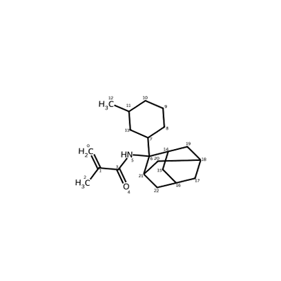 C=C(C)C(=O)NC1(C2CCCC(C)C2)C2CC3CC(C2)CC1C3